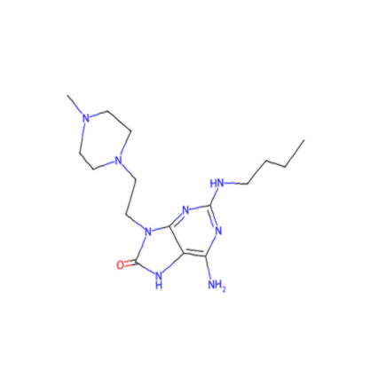 CCCCNc1nc(N)c2[nH]c(=O)n(CCN3CCN(C)CC3)c2n1